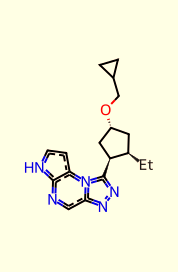 CC[C@@H]1C[C@@H](OCC2CC2)C[C@@H]1c1nnc2cnc3[nH]ccc3n12